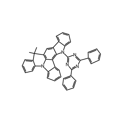 CC1(C)c2ccccc2-n2c3ccccc3c3c2c1cc1c2ccccc2n(-c2nc(-c4ccccc4)nc(-c4ccccc4)n2)c13